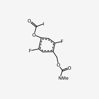 CNC(=O)OCc1cc(F)c(OC(=O)I)cc1F